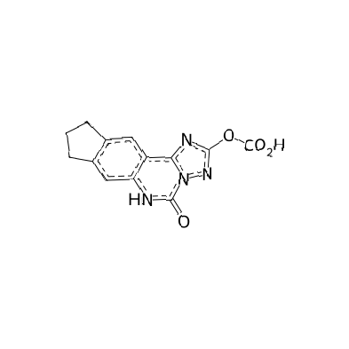 O=C(O)Oc1nc2c3cc4c(cc3[nH]c(=O)n2n1)CCC4